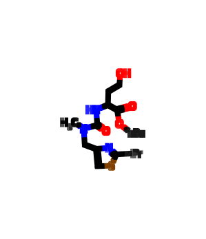 CCCCOC(=O)C(CCO)NC(=O)N(C)Cc1csc(C(C)C)n1